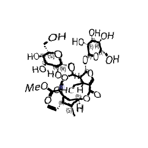 C=C[C@@H]1C2C[C@@H](OC(=O)C3=CO[C@@H](O[C@H]4O[C@@H](CO)[C@H](O)[C@@H](O)[C@H]4O)[C@@H](C(O[C@H]4O[C@@H](CO)[C@H](O)[C@H](O)[C@H]4O)O/C=C\2C(=O)OC)[C@H]3CC=O)[C@H]1C